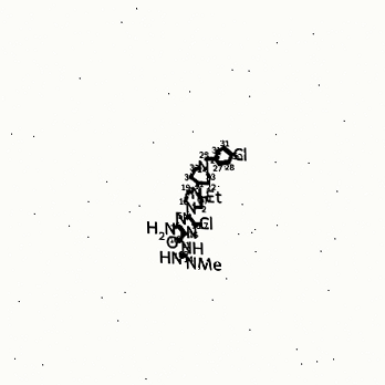 CC[C@H]1CN(c2nc(N)c(C(=O)NC(=N)NC)nc2Cl)CCN1C1CCN(Cc2ccc(Cl)cc2)CC1